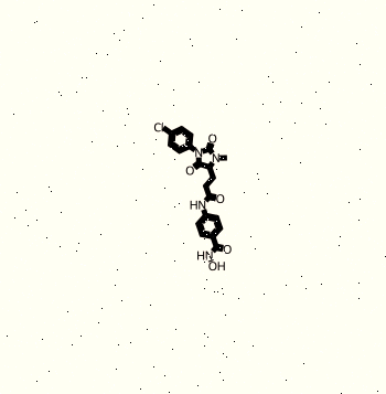 CN1C(=O)N(c2ccc(Cl)cc2)C(=O)C1CCC(=O)Nc1ccc(C(=O)NO)cc1